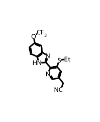 CCSc1cc(CC#N)cnc1-c1nc2cc(OC(F)(F)F)ccc2[nH]1